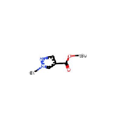 C[CH]n1cc(C(=O)OC(C)(C)C)cn1